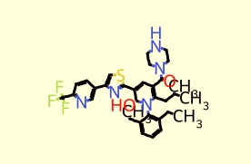 CCc1cccc(CC)c1N1C(CC(C)C)=C(C(=O)N2CCNCC2)C=C(c2nc(-c3ccc(C(F)(F)F)nc3)cs2)C1O